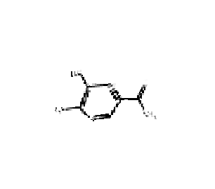 CC(=O)c1cnc(N)c(C)n1